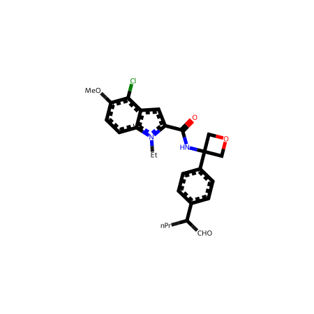 CCCC(C=O)c1ccc(C2(NC(=O)c3cc4c(Cl)c(OC)ccc4n3CC)COC2)cc1